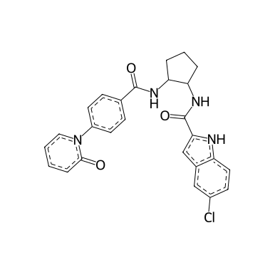 O=C(NC1CCCC1NC(=O)c1cc2cc(Cl)ccc2[nH]1)c1ccc(-n2ccccc2=O)cc1